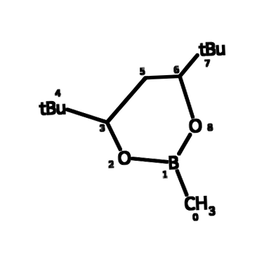 CB1OC(C(C)(C)C)CC(C(C)(C)C)O1